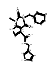 Cn1c(=O)n(Cc2ccccc2)c(=O)c2c(C(=O)OCc3ccoc3)csc21